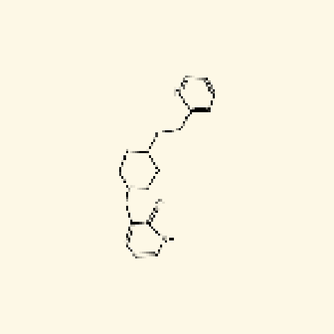 O=c1[nH]cccc1CN1CCC(CCc2ccccn2)CC1